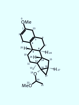 COC1=CCC2=C(CC[C@@H]3[C@@H]2CC[C@@]2(C)[C@H]3C[C@H]3C[C@]32OC(C)OC)C1